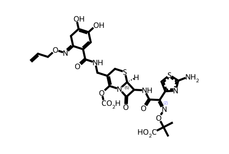 C=CCON=C1CC(O)=C(O)C=C1C(=O)NCC1=C(OC(=O)O)N2C(=O)C(NC(=O)/C(=N\OC(C)(C)C(=O)O)c3csc(N)n3)[C@@H]2SC1